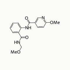 COCNC(=O)c1ccccc1NC(=O)c1ccc(OC)nc1